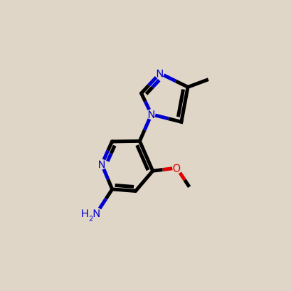 COc1cc(N)ncc1-n1cnc(C)c1